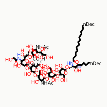 CCCCCCCCCCCCC/C=C/[C@@H](O)[C@H](CO[C@@H]1OC(CO)[C@@H](O[C@@H]2OC(CO)[C@H](O)[C@H](O[C@@H]3OC(CO)[C@@H](O[C@@H]4OC(CO)[C@H](O)[C@H](O[C@]5(C(=O)O)CC(O)[C@@H](NC(=O)CO)C([C@H](O)[C@@H](CO)O[C@]6(C(=O)O)CC(O)[C@@H](NC(C)=O)C([C@H](O)[C@H](O)CO)O6)O5)C4O)[C@H](O)C3NC(C)=O)C2O)[C@H](O)C1O)NC(=O)CCCCCCCCCCCCCCCCCCCCCCC